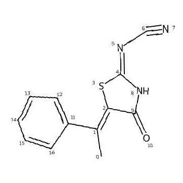 CC(=C1SC(=NC#N)NC1=O)c1ccccc1